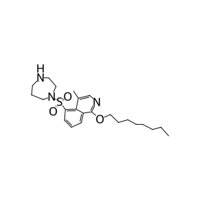 CCCCCCCCOc1ncc(C)c2c(S(=O)(=O)N3CCCNCC3)cccc12